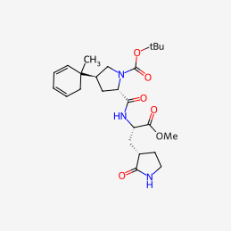 COC(=O)[C@H](C[C@@H]1CCNC1=O)NC(=O)[C@@H]1C[C@@H](C2(C)C=CC=CC2)CN1C(=O)OC(C)(C)C